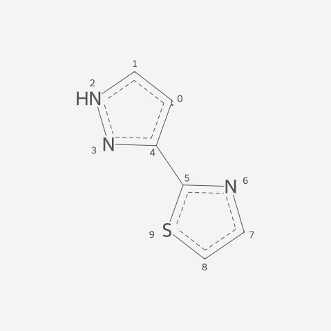 [c]1c[nH]nc1-c1nccs1